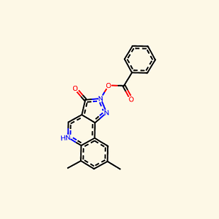 Cc1cc(C)c2[nH]cc3c(=O)n(OC(=O)c4ccccc4)nc-3c2c1